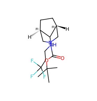 CC(C)(C)OC(=O)N1C[C@H]2CC[C@H](C1)C2NCCC(F)(F)F